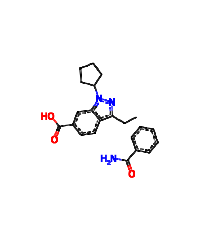 CCc1nn(C2CCCC2)c2cc(C(=O)O)ccc12.NC(=O)c1ccccc1